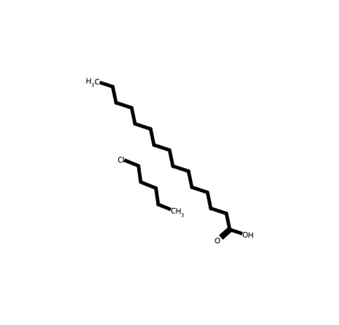 CCCCCCCCCCCCCCC(=O)O.CCCCCCl